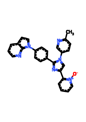 Cc1ccc(-n2cc(-c3cccc[n+]3[O-])nc2-c2ccc(-n3ccc4cccnc43)cc2)cn1